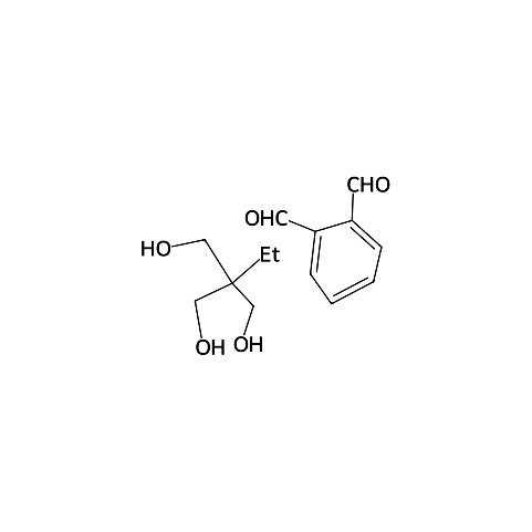 CCC(CO)(CO)CO.O=Cc1ccccc1C=O